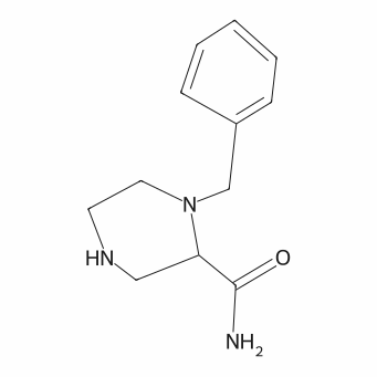 NC(=O)C1CNCCN1Cc1ccccc1